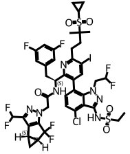 CCS(=O)(=O)Nc1nn(CC(F)F)c2c(-c3cc(I)c(CCC(C)(C)S(=O)(=O)C4CC4)nc3[C@H](Cc3cc(F)cc(F)c3)NC(=O)Cn3nc(C(F)F)c4c3C(F)(F)[C@@H]3C[C@H]43)ccc(Cl)c12